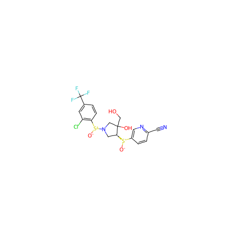 N#Cc1ccc([S+]([O-])[C@H]2CN([S+]([O-])c3ccc(C(F)(F)F)cc3Cl)CC2(O)CO)cn1